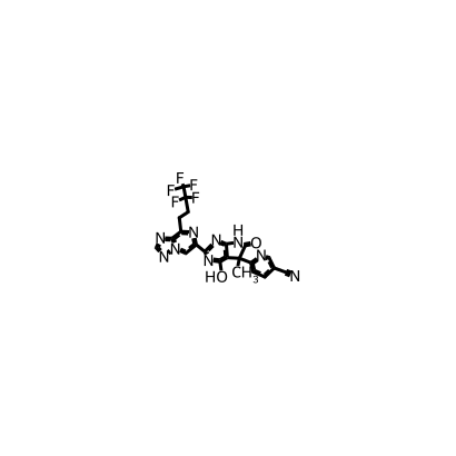 CC1(c2ccc(C#N)cn2)C(=O)Nc2nc(-c3cn4ncnc4c(CCC(F)(F)C(F)(F)F)n3)nc(O)c21